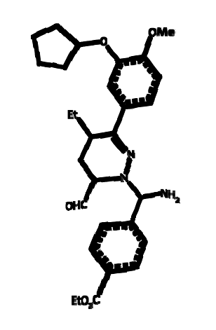 CCOC(=O)c1ccc(C(N)N2N=C(c3ccc(OC)c(OC4CCCC4)c3)C(CC)CC2C=O)cc1